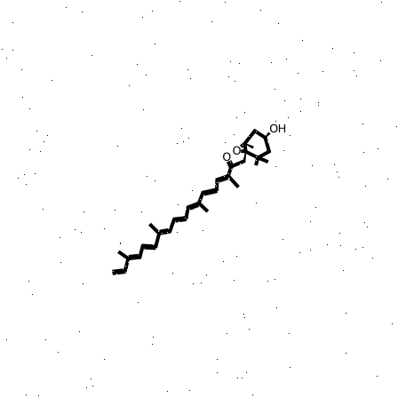 C=C/C(C)=C/C=C/C(C)=C/C=C/C=C(C)/C=C/C=C(\C)C(=O)C[C@@]12O[C@]1(C)C[C@@H](O)CC2(C)C